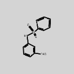 O=Cc1cccc(NS(=O)(=O)c2ccccc2)c1